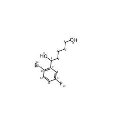 OCCCCC(O)c1cc(F)ccc1Br